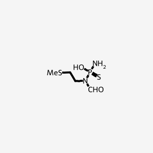 CSCCN(C=O)P(N)(O)=S